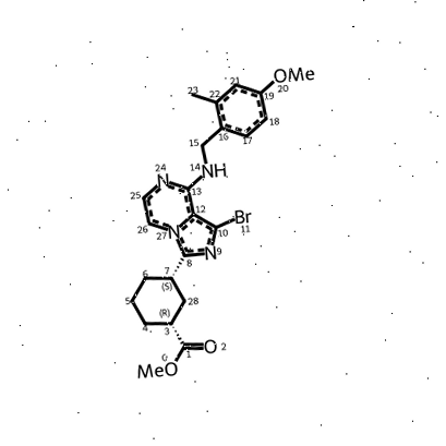 COC(=O)[C@@H]1CCC[C@H](c2nc(Br)c3c(NCc4ccc(OC)cc4C)nccn23)C1